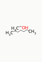 CCCCCCC.CCO